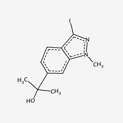 Cn1nc(I)c2ccc(C(C)(C)O)cc21